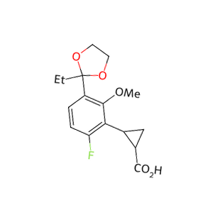 CCC1(c2ccc(F)c(C3CC3C(=O)O)c2OC)OCCO1